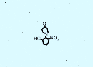 O=c1ccn(-c2c(O)cccc2[N+](=O)[O-])cc1